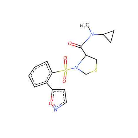 CN(C(=O)C1CSCN1S(=O)(=O)c1ccccc1-c1ccno1)C1CC1